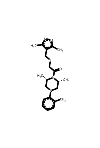 Cc1ccccc1N1C[C@@H](C)N(C(=O)CSCc2c(C)noc2C)[C@@H](C)C1